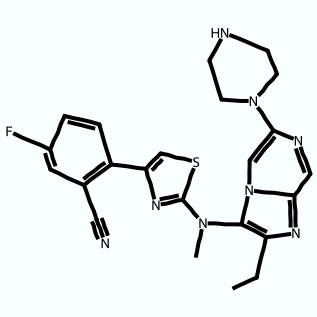 CCc1nc2cnc(N3CCNCC3)cn2c1N(C)c1nc(-c2ccc(F)cc2C#N)cs1